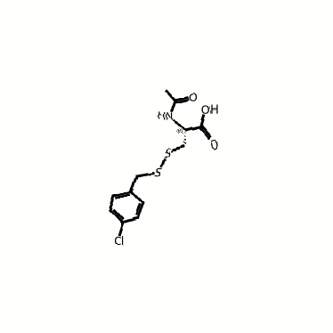 CC(=O)N[C@@H](CSSCc1ccc(Cl)cc1)C(=O)O